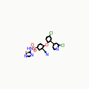 N#Cc1cc(S(=O)(=O)Nc2ncns2)ccc1Oc1ccc(Cl)cc1-c1ccnc(Cl)c1